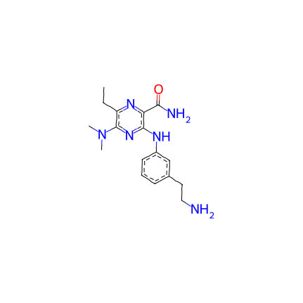 CCc1nc(C(N)=O)c(Nc2cccc(CCN)c2)nc1N(C)C